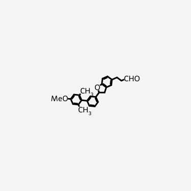 COc1cc(C)c(-c2cccc(C3Cc4cc(CCC=O)ccc4O3)c2)c(C)c1